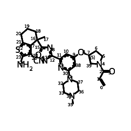 C=CC(=O)N1CC[C@H](Oc2cc(-c3noc(C4(C)CCCc5sc(N)c(C#N)c54)n3)nc(N3CCN(C)CC3)c2)C1